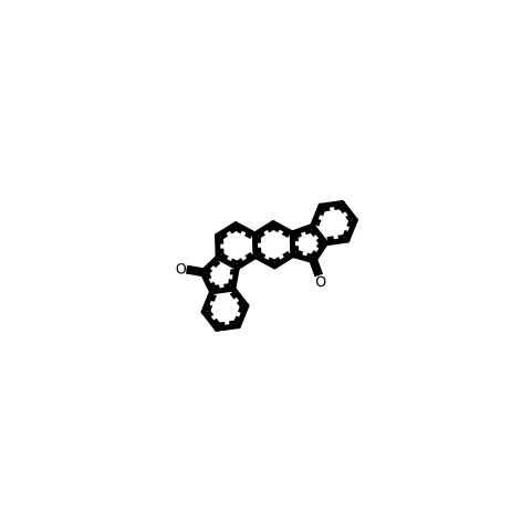 O=c1c2ccccc2c2cc3ccc4c(=O)c5ccccc5c4c3cc12